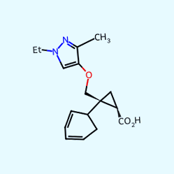 CCn1cc(OC[C@@]2(C3C=CC=CC3)C[C@H]2C(=O)O)c(C)n1